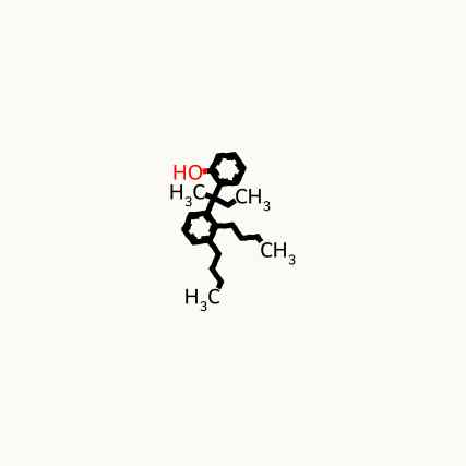 CCCCc1cccc(C(C)(CC)c2ccccc2O)c1CCCC